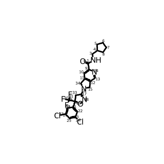 O=C(NCC1CCCC1)c1cc2c(cn1)CN(C1=NOC(c3cc(Cl)cc(Cl)c3)(C(F)(F)F)C1)C2